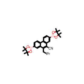 CC(C)Cc1c(C#N)c2cc(B3OC(C)(C)C(C)(C)O3)ccc2c2ccc(B3OC(C)(C)C(C)(C)O3)cc12